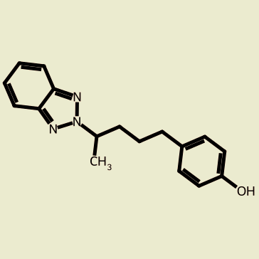 CC(CCCc1ccc(O)cc1)n1nc2ccccc2n1